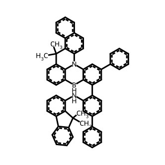 CC1(C)c2ccccc2-c2cccc(Nc3cc(-c4ccccc4)ccc3-c3cc(-c4ccccc4)cc4c3Bc3cccc5c3N4c3ccc4ccccc4c3C5(C)C)c21